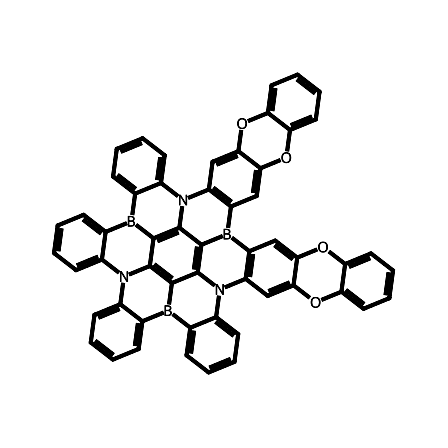 c1ccc2c(c1)Oc1cc3c(cc1O2)N1c2ccccc2B2c4ccccc4N4c5ccccc5B5c6ccccc6N6c7cc8c(cc7B3c3c1c2c4c5c36)Oc1ccccc1O8